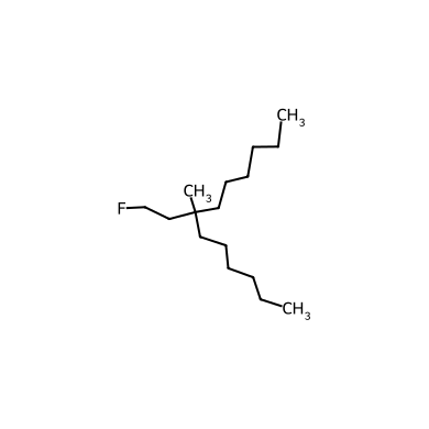 CCCCCCC(C)(CCF)CCCCCC